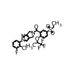 CCS(=O)(=O)c1ccc(O[C@@H](C)C(F)(F)F)c(C(=O)N2Cc3cn(-c4cccc(F)c4Cl)nc3C2)c1